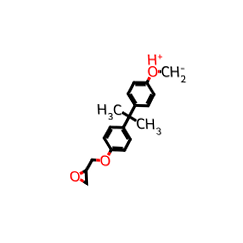 [CH2-][OH+]c1ccc(C(C)(C)c2ccc(OCC3CO3)cc2)cc1